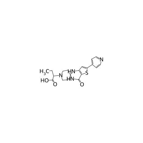 CCC(C(=O)O)N1CCC2(CC1)NC(=O)c1sc(-c3ccncc3)cc1N2